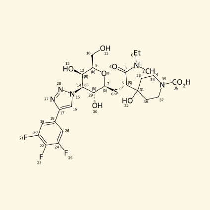 CCN(C)C(=O)[C@@H](S[C@@H]1O[C@H](CO)[C@H](O)[C@H](n2cc(-c3cc(F)c(F)c(F)c3)nn2)[C@H]1O)C1(O)CCN(C(=O)O)CC1